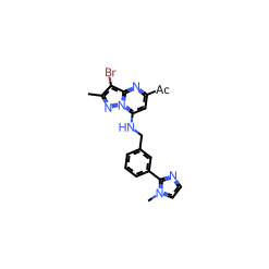 CC(=O)c1cc(NCc2cccc(-c3nccn3C)c2)n2nc(C)c(Br)c2n1